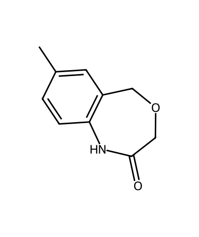 Cc1ccc2c(c1)COCC(=O)N2